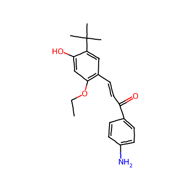 CCOc1cc(O)c(C(C)(C)C)cc1C=CC(=O)c1ccc(N)cc1